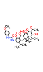 COc1ccc(NC(=O)Nc2cc(C(C)C)c3c(c2O)C(=O)C2=C(O)[C@@]4(O)C(=O)C(C(C)=O)=C(O)C(C(C)C)[C@H]4C[C@@]2(C)C3)cc1